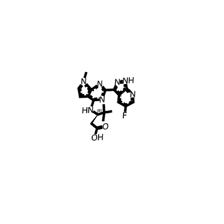 Cn1ccc2c(N[C@H](CC(=O)O)C(C)(C)C)nc(-c3n[nH]c4ncc(F)cc34)nc21